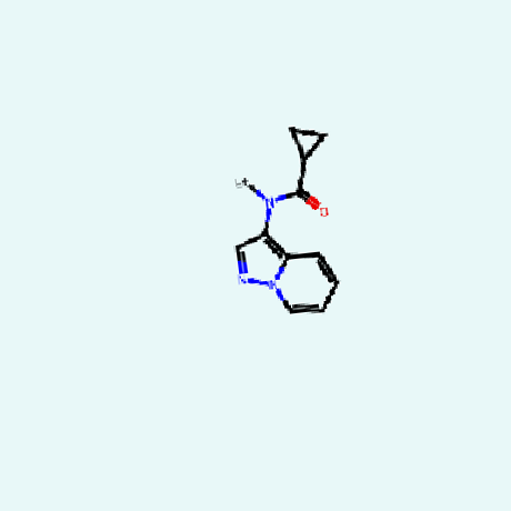 CCN(C(=O)C1CC1)c1cnn2ccccc12